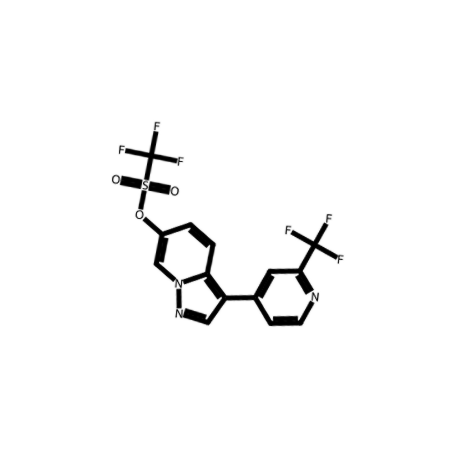 O=S(=O)(Oc1ccc2c(-c3ccnc(C(F)(F)F)c3)cnn2c1)C(F)(F)F